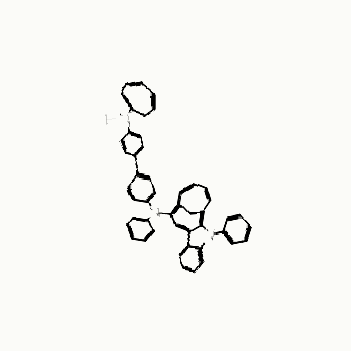 C1=CC=C(Nc2ccc(-c3ccc(N(C4=C5C=CC=CC(=c6c(c7ccccc7n6-c6ccccc6)=C4)C5)c4ccccc4)cc3)cc2)CC=C1